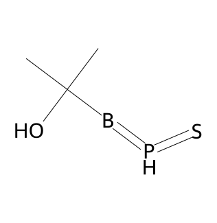 CC(C)(O)B=[PH]=S